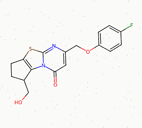 O=c1cc(COc2ccc(F)cc2)nc2sc3c(n12)C(CO)CC3